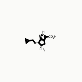 C[C@@H]1Cc2c(n[nH]c2C(=O)O)[C@@H]1CCC1CC1